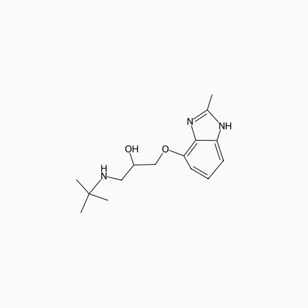 Cc1nc2c(OCC(O)CNC(C)(C)C)cccc2[nH]1